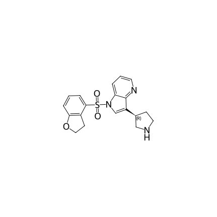 O=S(=O)(c1cccc2c1CCO2)n1cc([C@H]2CCNC2)c2ncccc21